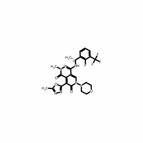 Cc1nnc(-c2c(=O)n(N3CCOCC3)cc3c(N[C@H](C)c4cccc(C(F)(F)F)c4F)nn(C)c(=O)c23)o1